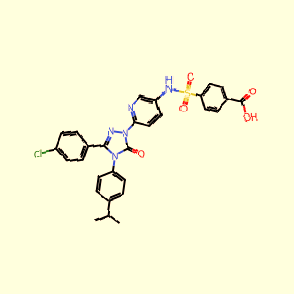 CC(C)c1ccc(-n2c(-c3ccc(Cl)cc3)nn(-c3ccc(NS(=O)(=O)c4ccc(C(=O)O)cc4)cn3)c2=O)cc1